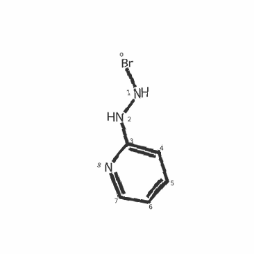 BrNNc1ccccn1